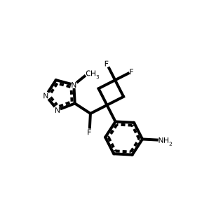 Cn1cnnc1C(F)C1(c2cccc(N)c2)CC(F)(F)C1